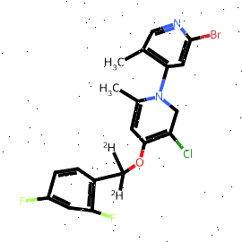 [2H]C([2H])(OC1=C(Cl)CN(c2cc(Br)ncc2C)C(C)=C1)c1ccc(F)cc1F